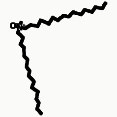 CCCCCCCCCCCCCCCC[N+](C)([O-])CCCCCCCCCCCCCCCC